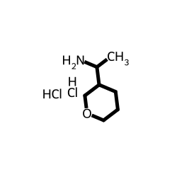 CC(N)C1CCCOC1.Cl.Cl